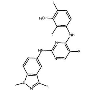 Cn1nc(I)c2cc(Nc3ncc(F)c(Nc4ccc(I)c(O)c4I)n3)ccc21